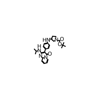 CC(C)Nc1nc2ccccn2c(=O)c1-c1ccc(N[C@@H]2CCN(C(=O)OC(C)(C)C)C2)cc1